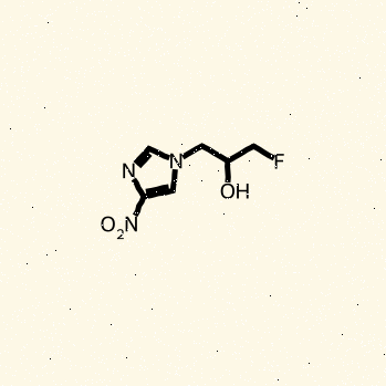 O=[N+]([O-])c1cn(CC(O)CF)cn1